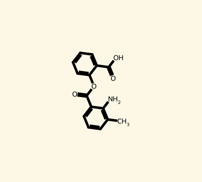 Cc1cccc(C(=O)Oc2ccccc2C(=O)O)c1N